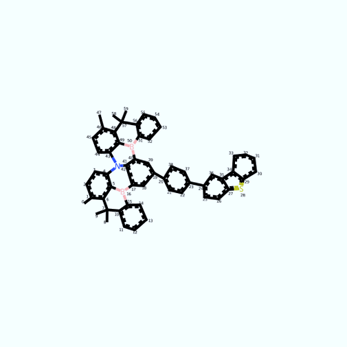 Cc1ccc2c3c1C(C)(C)c1ccccc1B3c1cc(-c3ccc(-c4ccc5sc6ccccc6c5c4)cc3)cc3c1N2c1ccc(C)c2c1B3c1ccccc1C2(C)C